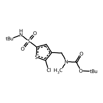 CN(Cc1cc(S(=O)(=O)NC(C)(C)C)sc1Cl)C(=O)OC(C)(C)C